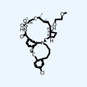 COCCO[C@H]1/C=C/[C@@H](C)C[C@@H](C)S(=O)(=O)NC(=O)c2ccc3c(c2)N(CCCCc2cc(Cl)ccc2CO3)C[C@@H]2CC[C@H]21